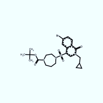 CC(C)(C)OC(=O)N1CCCN(S(=O)(=O)c2cn(CC3CC3)c(=O)c3ccc(Br)cc23)CC1